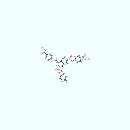 COC(=O)c1ccc(OCc2cc(S(=O)(=O)Oc3ccc(C)cc3)cc3cc(S(=O)Oc4ccc(C(=O)OC)cc4)ccc23)cc1